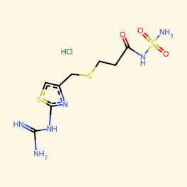 Cl.N=C(N)Nc1nc(CSCCC(=O)NS(N)(=O)=O)cs1